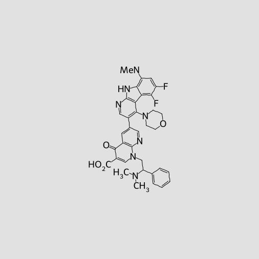 CNc1cc(F)c(F)c2c1[nH]c1ncc(-c3cnc4c(c3)c(=O)c(C(=O)O)cn4CC(c3ccccc3)N(C)C)c(N3CCOCC3)c12